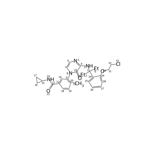 CCC(CC)(Nc1nccn(-c2cc(C(=O)NC3CC3)ccc2C)c1=O)c1ccccc1OCCCl